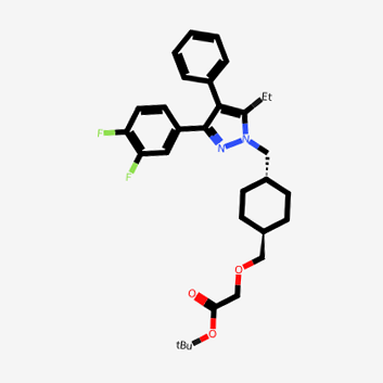 CCc1c(-c2ccccc2)c(-c2ccc(F)c(F)c2)nn1C[C@H]1CC[C@H](COCC(=O)OC(C)(C)C)CC1